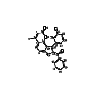 Cc1cc(=O)oc2c1ccc1oc(C(=O)c3ccccc3)c(-c3cccc(Cl)c3)c12